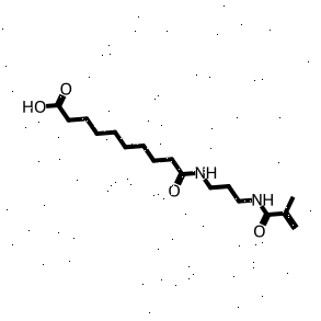 C=C(C)C(=O)NCCCNC(=O)CCCCCCCCC(=O)O